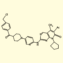 CC(=O)c1c(C)c2cnc(Nc3ccc(N4CCC(C(=O)c5ccc(CCl)cc5)CC4)cn3)nc2n(C2CCCC2)c1=O